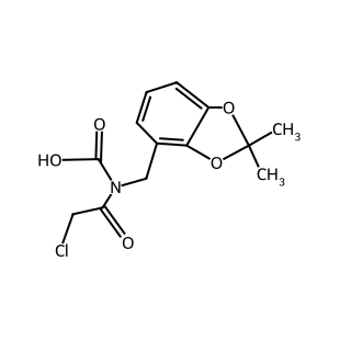 CC1(C)Oc2cccc(CN(C(=O)O)C(=O)CCl)c2O1